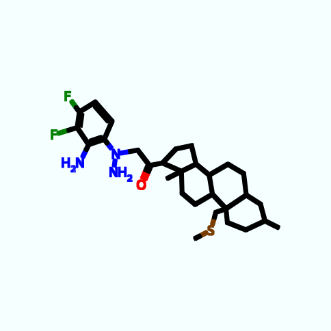 CSCC12CCC(C)CC1CCC1C3CCC(C(=O)CN(N)c4ccc(F)c(F)c4N)C3(C)CCC12